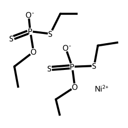 CCOP([O-])(=S)SCC.CCOP([O-])(=S)SCC.[Ni+2]